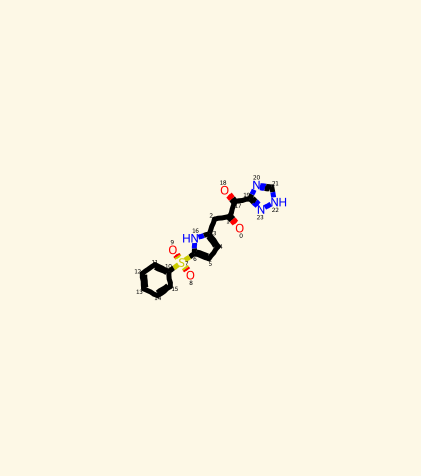 O=C(Cc1ccc(S(=O)(=O)c2ccccc2)[nH]1)C(=O)c1nc[nH]n1